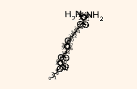 CCCCCOc1ccc(OC(=O)C=Cc2ccc(OCCCCCCCOC(=O)c3cc(N)cc(N)c3)cc2)cc1OC